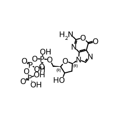 Nc1nc2c(ncn2[C@H]2CC(O)[C@@H](COP(=O)(O)OP(=O)(O)OP(=O)(O)O)O2)c(=O)o1